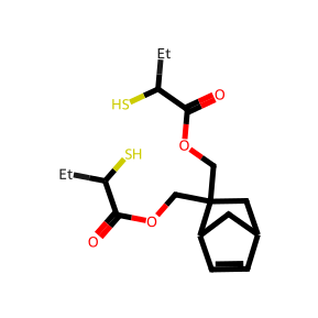 CCC(S)C(=O)OCC1(COC(=O)C(S)CC)CC2C=CC1C2